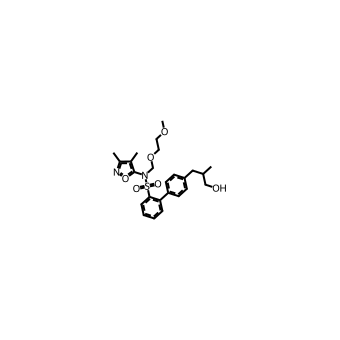 COCCOCN(c1onc(C)c1C)S(=O)(=O)c1ccccc1-c1ccc(CC(C)CO)cc1